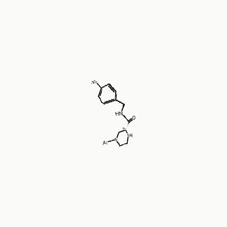 CCCc1ccc(CNC(=O)[C@H]2CN(C(C)=O)CCN2)cc1